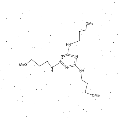 COCCCNc1nc(NCCCOC)nc(NCCCOC)n1